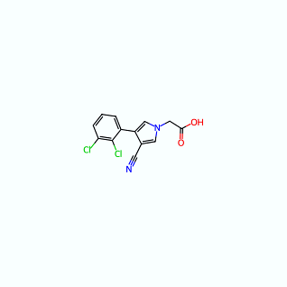 N#Cc1cn(CC(=O)O)cc1-c1cccc(Cl)c1Cl